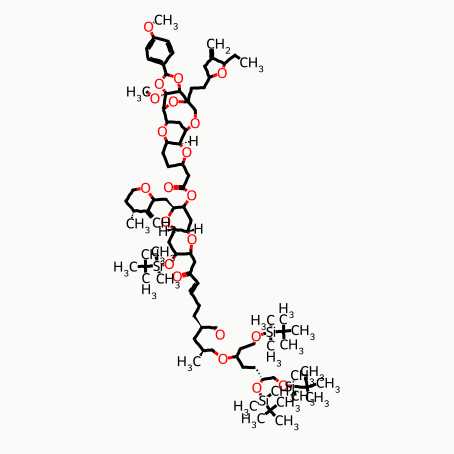 C=C1CC(CCC23COC4CC(OC5CCC(CC(=O)OC6C[C@@H]7OC(CC(=O)/C=C/CC[C@@H](C=O)C[C@H](C)COC(CCO[Si](C)(C)C(C)(C)C)CC[C@H](CO[Si](C)(C)C(C)(C)C)O[Si](C)(C)C(C)(C)C)C(O[Si](C)(C)C(C)(C)C)C[C@@H]7O[C@H]6CC6OCC[C@@H](C)C6=C)O[C@H]45)C(O2)[C@@]2(OC)OC(c4ccc(OC)cc4)OC32)OC1CC